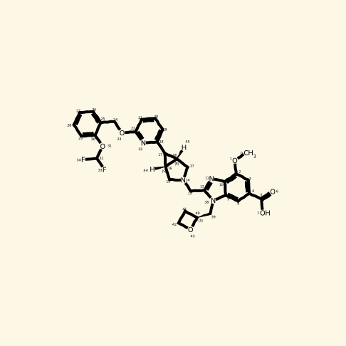 COc1cc(C(=O)O)cc2c1nc(CN1C[C@@H]3C(c4cccc(OCc5ccccc5OC(F)F)n4)[C@@H]3C1)n2C[C@@H]1CCO1